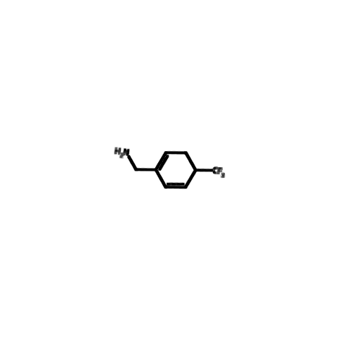 NCC1=CCC(C(F)(F)F)C=C1